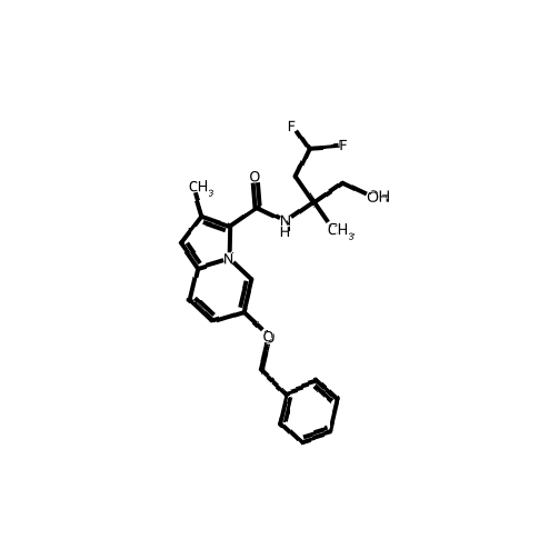 Cc1cc2ccc(OCc3ccccc3)cn2c1C(=O)NC(C)(CO)CC(F)F